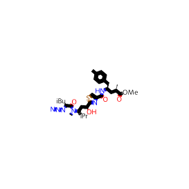 CCC(C)[C@H](N=[N+]=[N-])C(=O)N(C)C(C[C@@H](O)c1nc(C(=O)N[C@@H](Cc2ccc(C)cc2)C[C@H](C)C(=O)OC)cs1)C(C)C